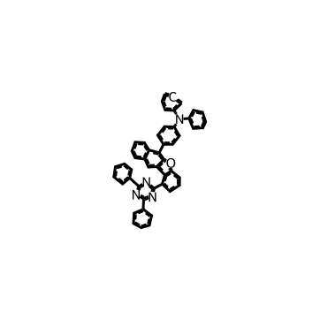 c1ccc(-c2nc(-c3ccccc3)nc(-c3cccc4oc5c(-c6ccc(N(c7ccccc7)c7ccccc7)cc6)c6ccccc6cc5c34)n2)cc1